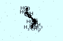 Cc1nc2ncn(C#Cc3ccc(C(=O)N[C@@H](CCC(=O)O)C(=O)O)cc3)c(O)c-2c1COC(=O)C(C)(C)C